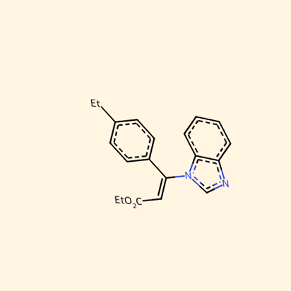 CCOC(=O)C=C(c1ccc(CC)cc1)n1cnc2ccccc21